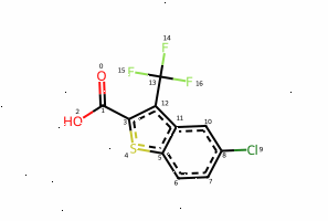 O=C(O)c1sc2ccc(Cl)cc2c1C(F)(F)F